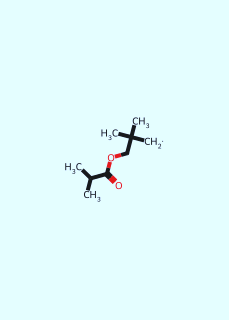 [CH2]C(C)(C)COC(=O)C(C)C